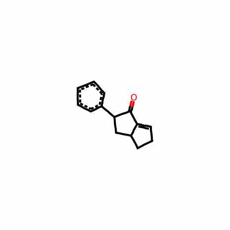 O=C1C2=CCCC2CC1c1ccccc1